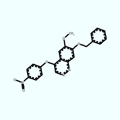 COc1cc2c(Oc3ccc([N+](=O)[O-])cc3)cnnc2cc1OCc1ccccc1